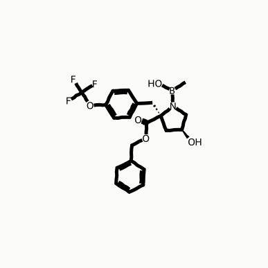 CB(O)N1C[C@@H](O)C[C@@]1(Cc1ccc(OC(F)(F)F)cc1)C(=O)OCc1ccccc1